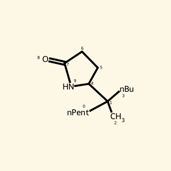 CCCCCC(C)(CCCC)C1CCC(=O)N1